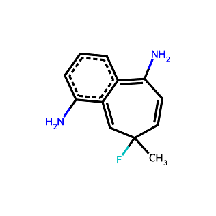 CC1(F)C=CC(N)=c2cccc(N)c2=C1